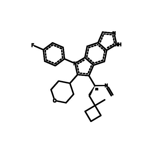 C=N[C@H](CC1(C)CCC1)c1c(C2CCOCC2)n(-c2ccc(F)cc2)c2cc3cn[nH]c3cc12